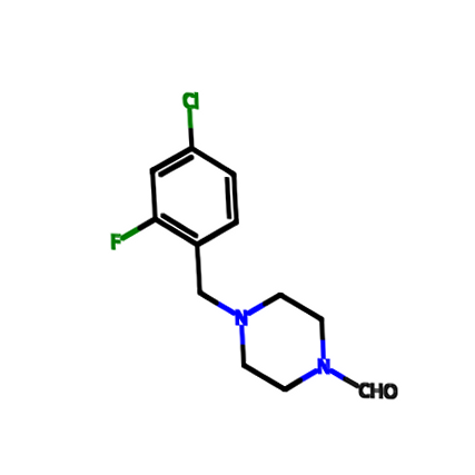 O=CN1CCN(Cc2ccc(Cl)cc2F)CC1